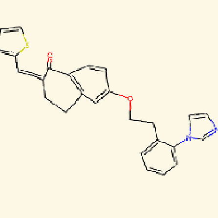 O=C1C(=Cc2cccs2)CCc2cc(OCCc3ccccc3-n3ccnc3)ccc21